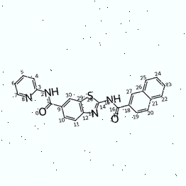 O=C(Nc1ccccn1)c1ccc2nc(NC(=O)c3ccc4ccccc4c3)sc2c1